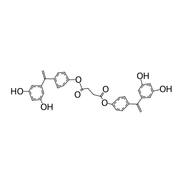 C=C(c1ccc(OC(=O)CCC(=O)Oc2ccc(C(=C)c3cc(O)cc(O)c3)cc2)cc1)c1cc(O)cc(O)c1